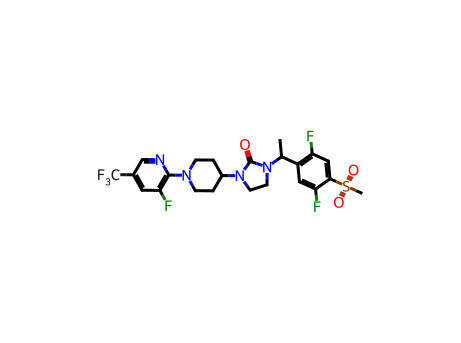 CC(c1cc(F)c(S(C)(=O)=O)cc1F)N1CCN(C2CCN(c3ncc(C(F)(F)F)cc3F)CC2)C1=O